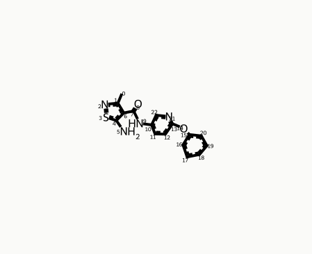 Cc1nsc(N)c1C(=O)Nc1ccc(Oc2ccccc2)nc1